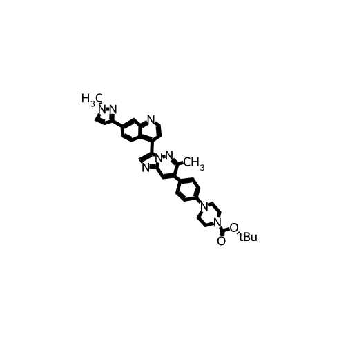 Cc1nn2c(-c3ccnc4cc(-c5ccn(C)n5)ccc34)cnc2cc1-c1ccc(N2CCN(C(=O)OC(C)(C)C)CC2)cc1